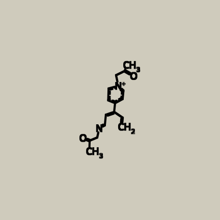 C=C/C(=C\C=N\CC(C)=O)c1cc[n+](CC(C)=O)cc1